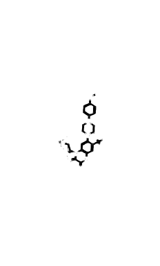 COc1ccc(N2CCN(c3cc4c(cc3C(F)(F)F)[nH]c(=O)c3nnc(CP(=O)(O)O)n34)CC2)cc1